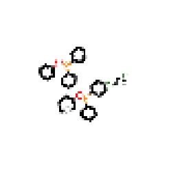 [Cl][Pd][Cl].c1ccc(OP(c2ccccc2)c2ccccc2)cc1.c1ccc(OP(c2ccccc2)c2ccccc2)cc1